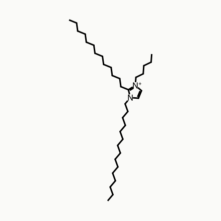 CCCCCCCCCCCCCCCn1cc[n+](CCCCC)c1CCCCCCCCCCCCC